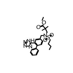 CCCCS(=O)(=O)N(Cc1ccc(-c2ccccc2)c(-c2nnn[nH]2)c1)CC(C)(C)C(=O)OCC